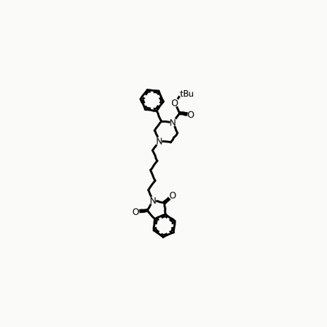 CC(C)(C)OC(=O)N1CCN(CCCCCN2C(=O)c3ccccc3C2=O)CC1c1ccccc1